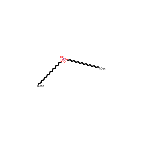 CCCCCCCCCCCCCCCCCCCCCCCCCCOP(=O)(O)OCCCCCCCCCCCCCCCCCCCCCCCCCC